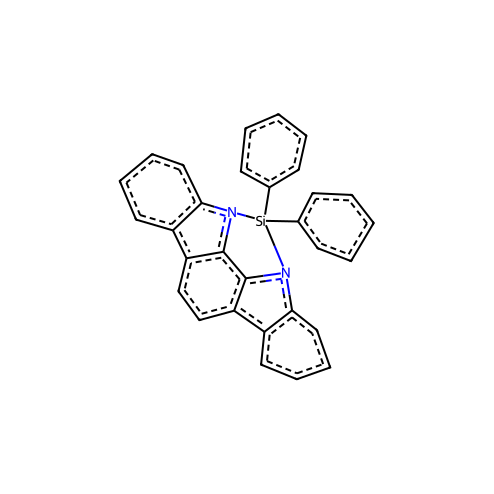 c1ccc([Si]2(c3ccccc3)n3c4ccccc4c4ccc5c6ccccc6n2c5c43)cc1